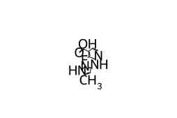 Cc1cc(Nc2nccc(C(=O)O)c2F)n[nH]1